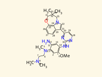 COc1cc(N(C)CCN(C)C)c(N)cc1Nc1nccc(-c2cn3c4c(cccc24)OCC(C)(C)C3)n1